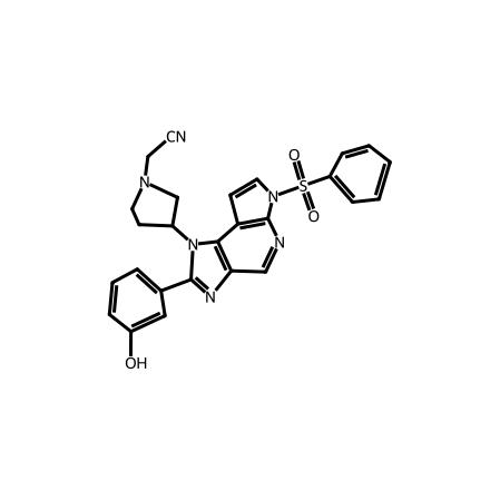 N#CCN1CCC(n2c(-c3cccc(O)c3)nc3cnc4c(ccn4S(=O)(=O)c4ccccc4)c32)C1